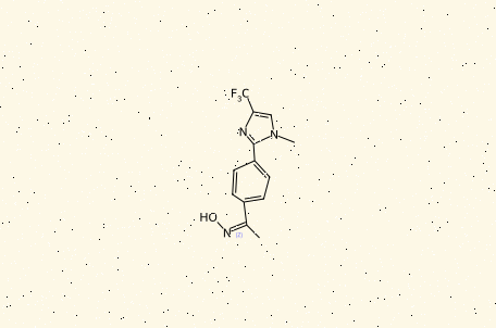 C/C(=N/O)c1ccc(-c2nc(C(F)(F)F)cn2C)cc1